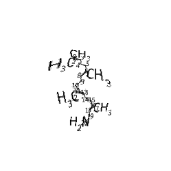 CC(C)=CCCC(C)=CCCC(C)=CCCC(C)=CCN